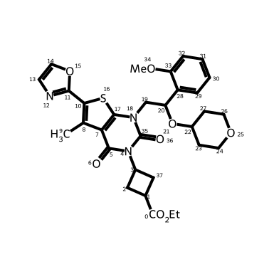 CCOC(=O)C1CC(n2c(=O)c3c(C)c(-c4ncco4)sc3n(CC(OC3CCOCC3)c3ccccc3OC)c2=O)C1